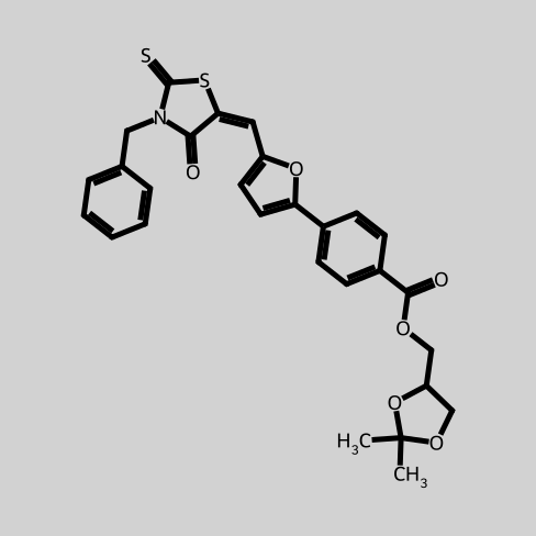 CC1(C)OCC(COC(=O)c2ccc(-c3ccc(/C=C4/SC(=S)N(Cc5ccccc5)C4=O)o3)cc2)O1